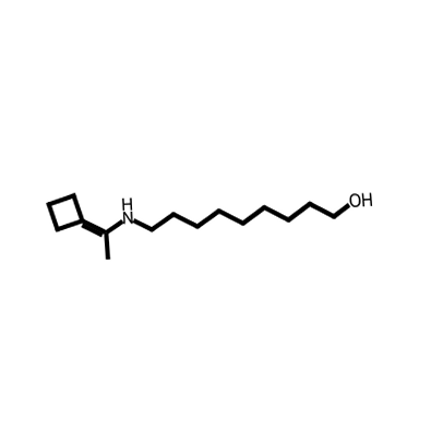 CC(NCCCCCCCCCO)=C1CCC1